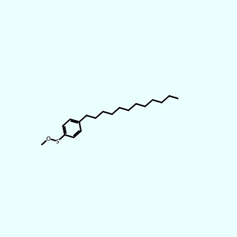 CCCCCCCCCCCCc1ccc(SOC)cc1